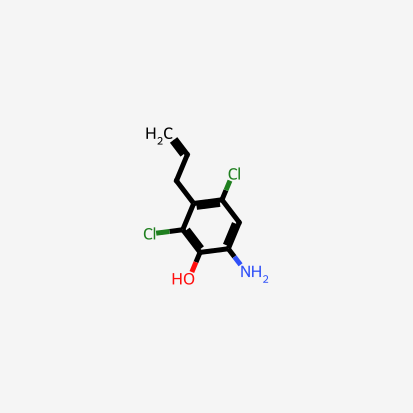 C=CCc1c(Cl)cc(N)c(O)c1Cl